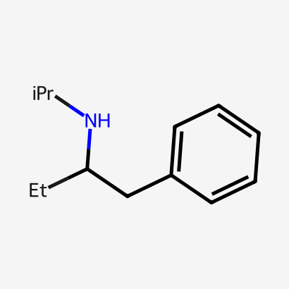 CCC(Cc1ccccc1)NC(C)C